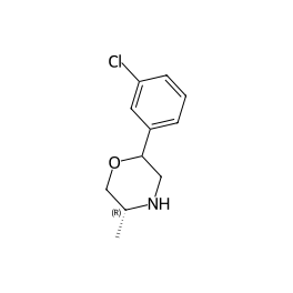 C[C@@H]1COC(c2cccc(Cl)c2)CN1